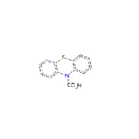 O=C(O)N1c2ccccc2Sc2ccccc21